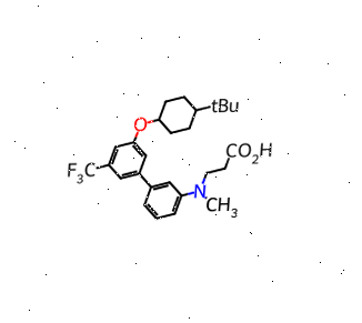 CN(CCC(=O)O)c1cccc(-c2cc(OC3CCC(C(C)(C)C)CC3)cc(C(F)(F)F)c2)c1